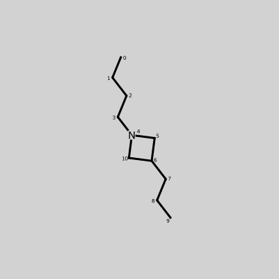 CCCCN1CC(CCC)C1